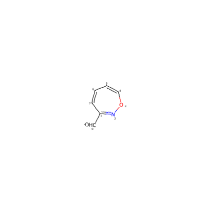 O=[C]C1=NOC=CC=C1